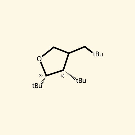 CC(C)(C)CC1CO[C@@H](C(C)(C)C)[C@H]1C(C)(C)C